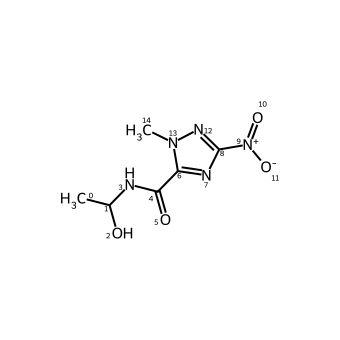 CC(O)NC(=O)c1nc([N+](=O)[O-])nn1C